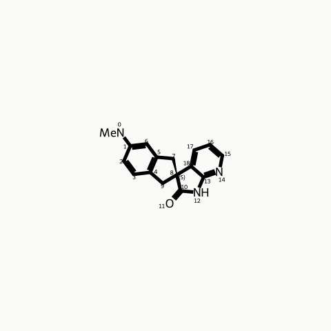 CNc1ccc2c(c1)C[C@]1(C2)C(=O)Nc2ncccc21